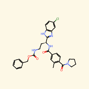 Cc1cc(C(=O)N[C@@H](CCNC(=O)OCc2ccccc2)c2nc3cc(Cl)ccc3[nH]2)ccc1C(=O)N1CCCC1